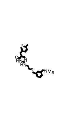 CNCc1cccc(CSCCNc2ncc(Cc3ccc(C)nc3)c(=O)[nH]2)c1